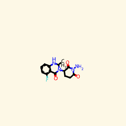 CC1Nc2cccc(F)c2C(=O)N1C1CCC(=O)N(N)C1=O